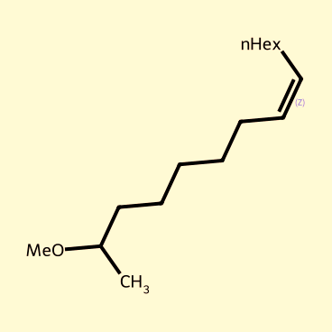 CCCCCC/C=C\CCCCCC(C)OC